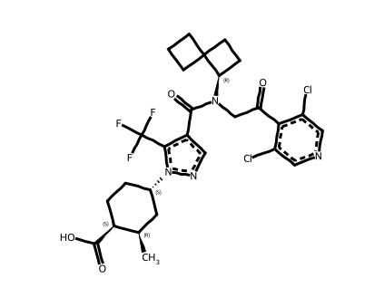 C[C@@H]1C[C@@H](n2ncc(C(=O)N(CC(=O)c3c(Cl)cncc3Cl)[C@@H]3CCC34CCC4)c2C(F)(F)F)CC[C@@H]1C(=O)O